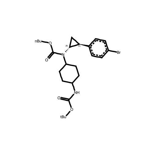 CCCCOC(=O)N(C1CCC(NC(=O)OC(C)(C)C)CC1)[C@@H]1C[C@H]1c1ccc(Br)cc1